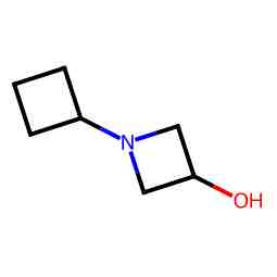 OC1CN(C2CCC2)C1